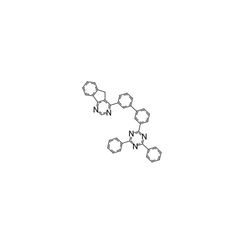 c1ccc(-c2nc(-c3ccccc3)nc(-c3cccc(-c4cccc(-c5ncnc6c5Cc5ccccc5-6)c4)c3)n2)cc1